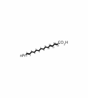 CCCC=CCCCCCCCCC=CC=CC(=O)O